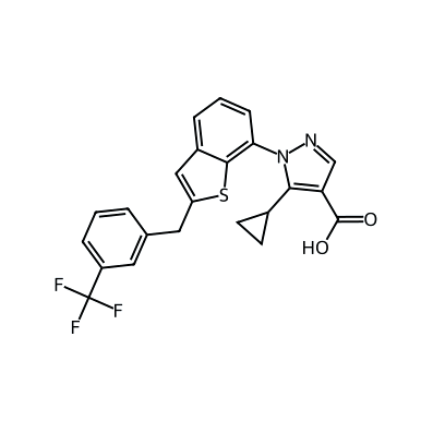 O=C(O)c1cnn(-c2cccc3cc(Cc4cccc(C(F)(F)F)c4)sc23)c1C1CC1